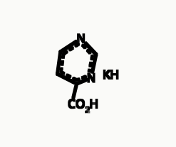 O=C(O)c1ccncn1.[KH]